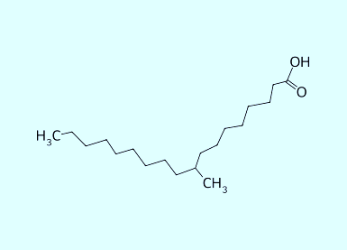 CCCCCCCCCC(C)CCCCCCCC(=O)O